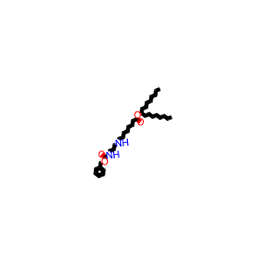 CCCCCCCCC(CCCCCCCC)OC(=O)CCCCCCCNCCCNC(=O)OCc1ccccc1